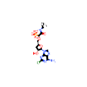 CCNC(=O)[C@H](OC[C@@H]1C[C@@H](O)[C@H](n2cnc3c(N)nc(Cl)nc32)O1)P(=O)(O)O